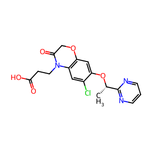 C[C@H](Oc1cc2c(cc1Cl)N(CCC(=O)O)C(=O)CO2)c1ncccn1